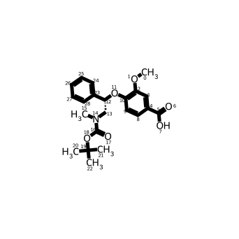 COc1cc(C(=O)O)ccc1O[C@H](CN(C)C(=O)OC(C)(C)C)c1ccccc1